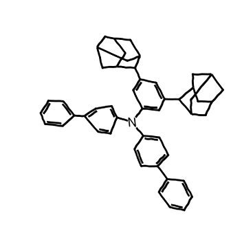 c1ccc(-c2ccc(N(c3ccc(-c4ccccc4)cc3)c3cc(C4C5CC6CC(C5)CC4C6)cc(C4C5CC6CC(C5)CC4C6)c3)cc2)cc1